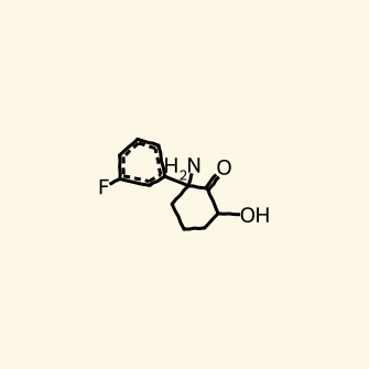 NC1(c2cccc(F)c2)CCCC(O)C1=O